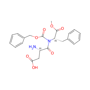 COC(=O)[C@H](Cc1ccccc1)N(C(=O)OCc1ccccc1)C(=O)[C@@H](N)CC(=O)O